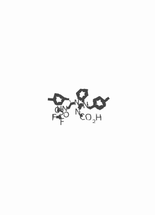 Cc1ccc(C[C@@H](CNS(=O)(=O)C(F)F)n2/c(=N/C(=O)O)n(Cc3ccc(C)cc3)c3ccccc32)cc1